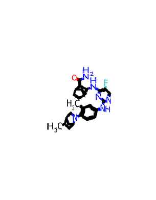 Cc1cc(Nc2ncc(F)c(NC3C4C=CC(C4)C3C(N)=O)n2)ccc1N1CC2CC1CC2C